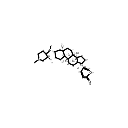 CN1CCC(N(C)[C@H]2CC[C@@]3(C)[C@H](CC[C@@H]4[C@@H]3CC[C@]3(C)[C@@H](c5ccc(=O)oc5)CC[C@]43O)C2)[C@@H](F)C1